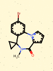 CN1C(=O)c2cccn2-c2cc(Br)ccc2C12CC2